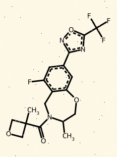 CC1COc2cc(-c3noc(C(F)(F)F)n3)cc(F)c2CN1C(=O)C1(C)COC1